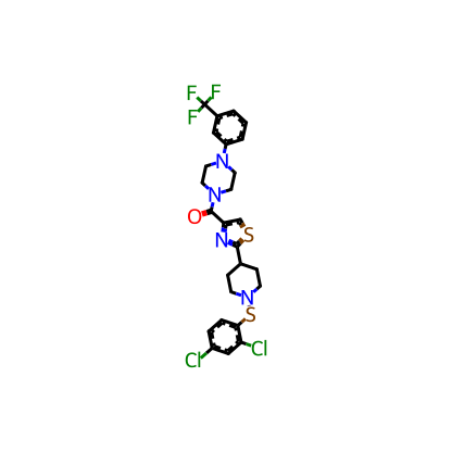 O=C(c1csc(C2CCN(Sc3ccc(Cl)cc3Cl)CC2)n1)N1CCN(c2cccc(C(F)(F)F)c2)CC1